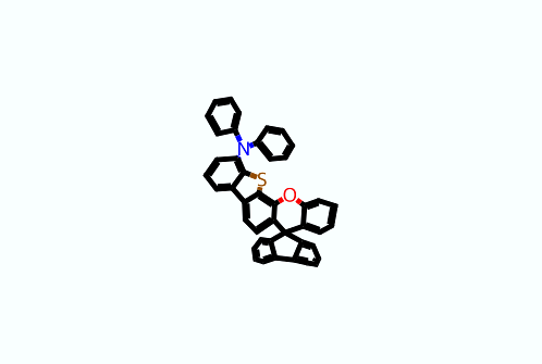 c1ccc(N(c2ccccc2)c2cccc3c2sc2c4c(ccc23)C2(c3ccccc3O4)c3ccccc3-c3ccccc32)cc1